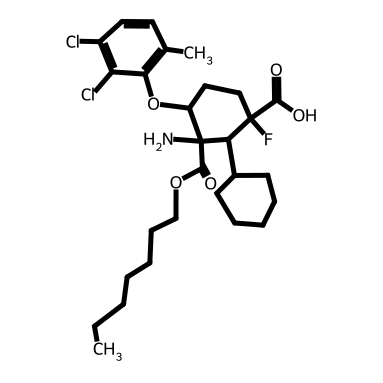 CCCCCCCOC(=O)C1(N)C(Oc2c(C)ccc(Cl)c2Cl)CCC(F)(C(=O)O)C1C1CCCCC1